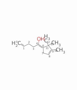 C=CCC/C(O)=C1\CC=C(C)C1(C)C